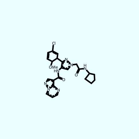 COC1C=CC(Cl)=CC1c1nn(CC(=O)NC2CCCC2)cc1NC(=O)c1cnn2cccnc12